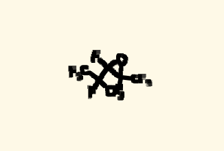 FC(F)(F)C1(F)OC1(F)C(F)(C(F)(F)F)C(F)(F)F